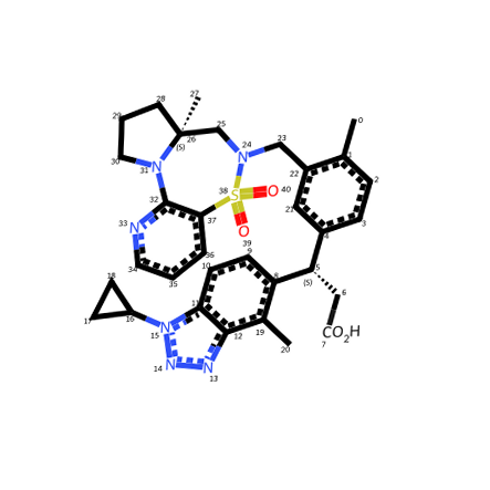 Cc1ccc([C@H](CC(=O)O)c2ccc3c(nnn3C3CC3)c2C)cc1CN1C[C@]2(C)CCCN2c2ncccc2S1(=O)=O